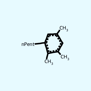 [CH2]CCCCc1cc(C)cc(C)c1C